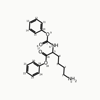 NCCCCC(NC(=O)Oc1ccccc1)C(=O)Oc1ccccc1